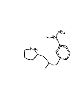 CCCCN(C)c1cccc(CC(C)CC2CCCN2)c1